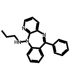 CCCNN1c2ccccc2C(c2ccccc2)=Nc2cccnc21